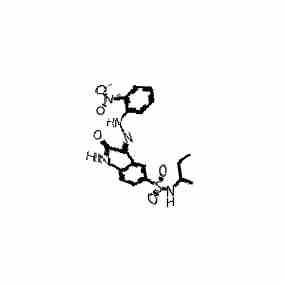 CCC(C)NS(=O)(=O)c1ccc2c(c1)/C(=N/Nc1ccccc1[N+](=O)[O-])C(=O)N2